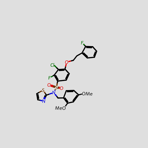 COc1ccc(CN(c2nccs2)S(=O)(=O)c2ccc(OCCc3ccccc3F)c(Cl)c2F)c(OC)c1